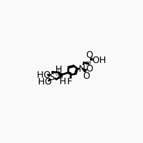 O=C(O)[C@H]1CN(c2ccc(C3[C@H]4CS(O)(O)C[C@@H]34)c(F)c2)C(=O)O1